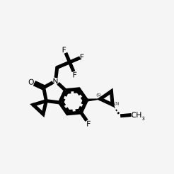 CC[C@H]1C[C@@H]1c1cc2c(cc1F)C1(CC1)C(=O)N2CC(F)(F)F